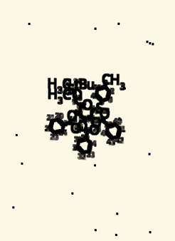 Cc1ccc(S[C@@H]2O[C@H](CO[Si](C)(C)C(C)(C)C)[C@H](OC(=O)c3ccccc3)[C@H](OC(=O)c3ccccc3)[C@H]2OC(=O)c2ccccc2)cc1